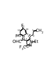 C=CCSc1c(N(C=O)c2ccc(F)cc2F)c(C(F)(F)F)nn1CC